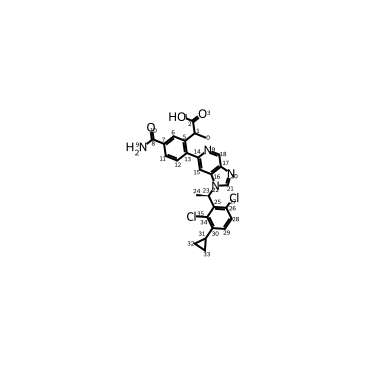 CC(C(=O)O)c1cc(C(N)=O)ccc1-c1cc2c(cn1)ncn2[C@H](C)c1c(Cl)ccc(C2CC2)c1Cl